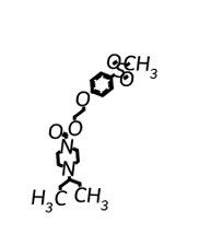 CCC(CC)N1CCN(C(=O)OCCOc2ccc(S(C)(=O)=O)cc2)CC1